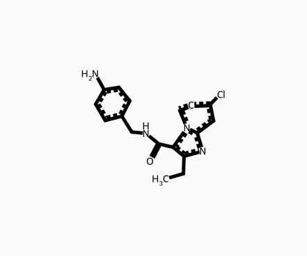 CCc1nc2cc(Cl)ccn2c1C(=O)NCc1ccc(N)cc1